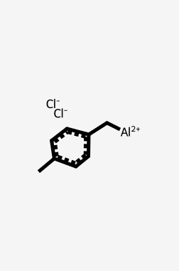 Cc1ccc([CH2][Al+2])cc1.[Cl-].[Cl-]